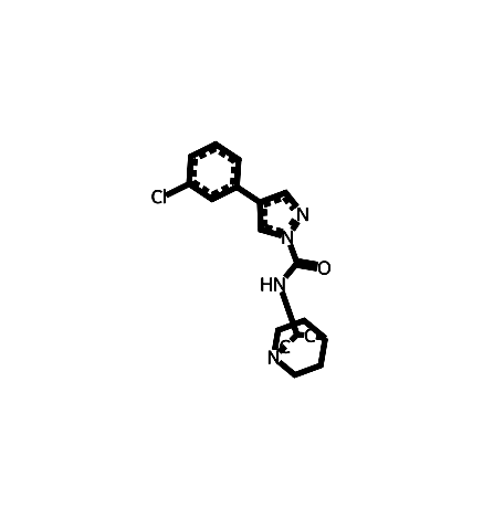 O=C(NC1CC2CCN(CC2)C1)n1cc(-c2cccc(Cl)c2)cn1